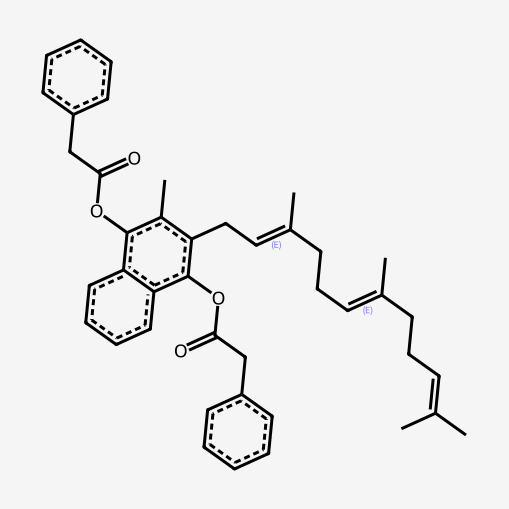 CC(C)=CCC/C(C)=C/CC/C(C)=C/Cc1c(C)c(OC(=O)Cc2ccccc2)c2ccccc2c1OC(=O)Cc1ccccc1